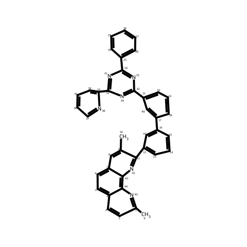 Cc1ccc2ccc3cc(C)c(-c4cccc(-c5cccc(-c6nc(-c7ccccc7)nc(-c7ccccn7)n6)c5)c4)nc3c2n1